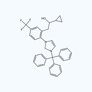 OC(Cc1cc(C(F)(F)F)ccc1N1C=CN(C(c2ccccc2)(c2ccccc2)c2ccccc2)C1)C1CC1